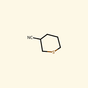 N#CC1CCCSC1